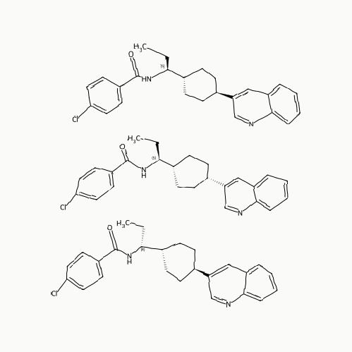 CC[C@@H](NC(=O)c1ccc(Cl)cc1)[C@H]1CC[C@H](c2cnc3ccccc3c2)CC1.CC[C@H](NC(=O)c1ccc(Cl)cc1)[C@H]1CC[C@@H](c2cnc3ccccc3c2)CC1.CC[C@H](NC(=O)c1ccc(Cl)cc1)[C@H]1CC[C@H](c2cnc3ccccc3c2)CC1